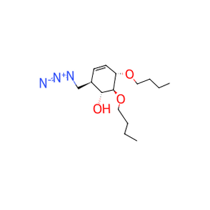 CCCCO[C@H]1[C@H](O)[C@@H](CN=[N+]=[N-])C=C[C@@H]1OCCCC